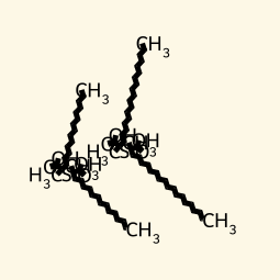 CCCCCCCCCCCCCCC(C)(SC(C)(CCCCCCCCCCCCCC)C(=O)O)C(=O)O.CCCCCCCCCCCCCCCCCCC(C)(SC(C)(CCCCCCCCCCCCCCCCCC)C(=O)O)C(=O)O